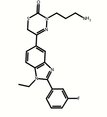 CCn1c(-c2cccc(F)c2)nc2cc(C3=NN(CCCN)C(=O)SC3)ccc21